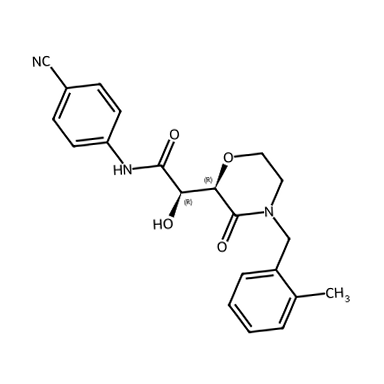 Cc1ccccc1CN1CCO[C@H]([C@@H](O)C(=O)Nc2ccc(C#N)cc2)C1=O